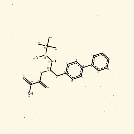 C=C(C[C@@H](Cc1ccc(-c2ccccc2)cc1)N[S+]([O-])C(C)(C)C)C(=O)O